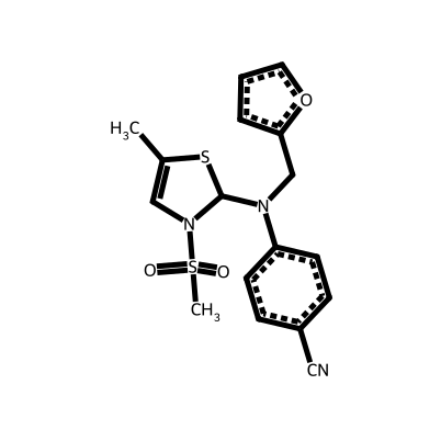 CC1=CN(S(C)(=O)=O)C(N(Cc2ccco2)c2ccc(C#N)cc2)S1